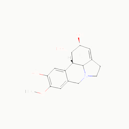 COc1cc2c(cc1O)[C@@H]1[C@H](O)[C@@H](O)C=C3CCN(C2)[C@H]31